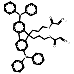 C=CC(=O)OCCCC1(CCCOC(=O)C=C)c2cc(N(c3ccccc3)c3ccccc3)ccc2-c2ccc(N(c3ccccc3)c3ccccc3)cc21